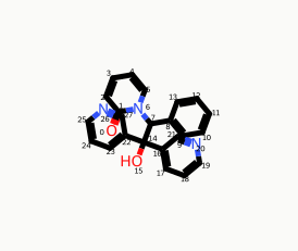 O=c1ccccn1C(c1ccccc1)C(O)(c1cccnc1)c1cccnc1